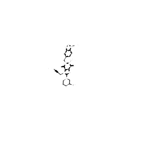 CC#CCn1c(N2CCCC(N)C2)nc2c(=O)n(C)n(Cc3ccc4c(c3)nnn4C)c(=O)c21